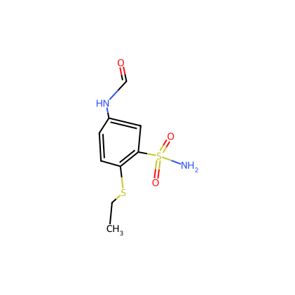 CCSc1ccc(NC=O)cc1S(N)(=O)=O